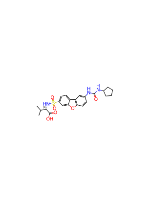 CC(C)[C@H](NS(=O)(=O)c1ccc2c(c1)oc1ccc(NC(=O)NC3CCCC3)cc12)C(=O)O